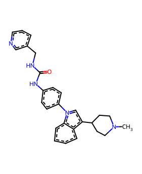 CN1CCC(c2cn(-c3ccc(NC(=O)NCc4cccnc4)cc3)c3ccccc23)CC1